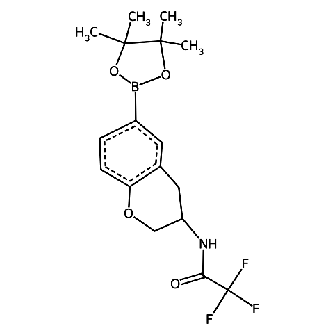 CC1(C)OB(c2ccc3c(c2)CC(NC(=O)C(F)(F)F)CO3)OC1(C)C